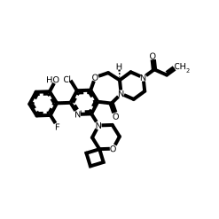 C=CC(=O)N1CCN2C(=O)c3c(N4CCOC5(CCC5)C4)nc(-c4c(O)cccc4F)c(Cl)c3OC[C@H]2C1